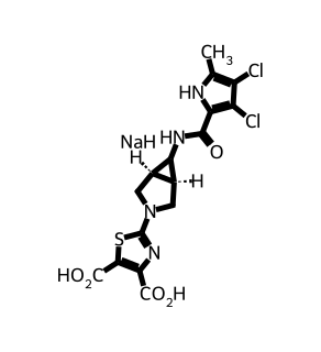 Cc1[nH]c(C(=O)NC2[C@H]3CN(c4nc(C(=O)O)c(C(=O)O)s4)C[C@@H]23)c(Cl)c1Cl.[NaH]